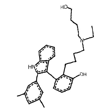 CCN(CCCCO)CCCCc1c(O)cccc1-c1c(-c2cc(C)cc(C)c2)[nH]c2ccccc12